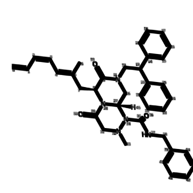 C=C/C=C\C=C(/C)C[C@H]1C(=O)N(CC(c2ccccc2)c2ccccc2)C[C@H]2N1C(=O)CN(C)N2C(=O)NCc1ccccc1